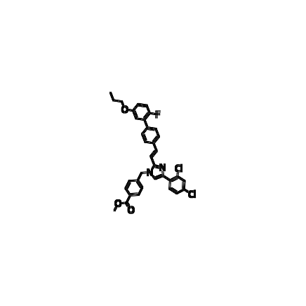 CCCOc1ccc(F)c(-c2ccc(C=Cc3nc(-c4ccc(Cl)cc4Cl)cn3Cc3ccc(C(=O)OC)cc3)cc2)c1